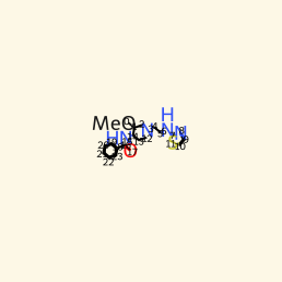 COC1CN(CCNc2nccs2)CCC1NC(=O)c1ccccc1